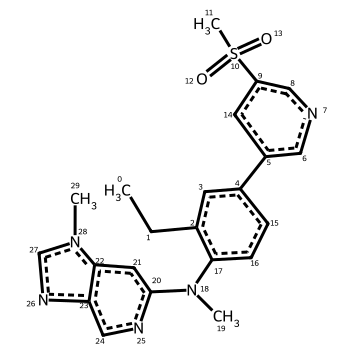 CCc1cc(-c2cncc(S(C)(=O)=O)c2)ccc1N(C)c1cc2c(cn1)ncn2C